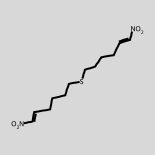 O=[N+]([O-])C=CCCCCSCCCCC=C[N+](=O)[O-]